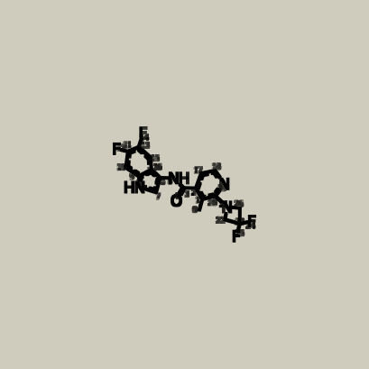 Cc1c(C(=O)Nc2c[nH]c3cc(F)c(F)cc23)ccnc1N1CC(F)(F)C1